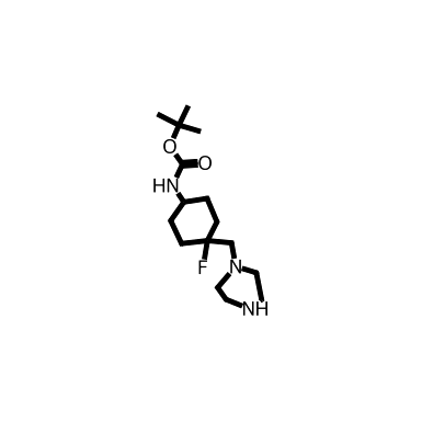 CC(C)(C)OC(=O)NC1CCC(F)(CN2CCNCC2)CC1